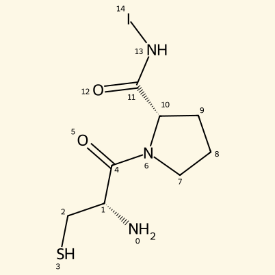 N[C@H](CS)C(=O)N1CCC[C@H]1C(=O)NI